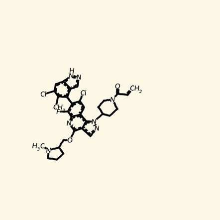 C=CC(=O)N1CCC(n2ncc3c(OCC4CCCN4C)nc4c(F)c(-c5c(C)c(Cl)cc6[nH]ncc56)c(Cl)cc4c32)CC1